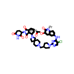 CNC(=O)COc1cc2cc(Nc3nc(N4CCC(CN5CCC6(CC5)CCN(c5cccc7c5C(=O)N(C5CCC(=O)NC5=O)C7=O)C6)CC4)ncc3Cl)ccc2n(C(C)C)c1=O